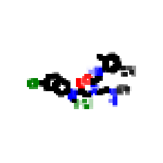 Cc1ccc(C#N)cc1NCC(=O)N(CCNC(C)C)CC(=O)N(C)C1Cc2ccc(Cl)cc2C1.Cl